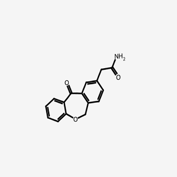 NC(=O)Cc1ccc2c(c1)C(=O)c1ccccc1OC2